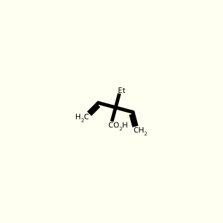 C=CC(C=C)(CC)C(=O)O